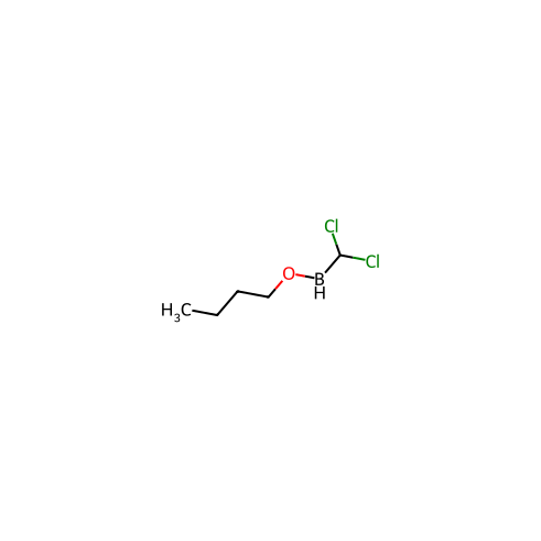 CCCCOBC(Cl)Cl